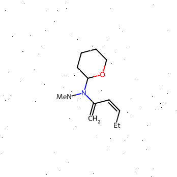 C=C(/C=C\CC)N(NC)C1CCCCO1